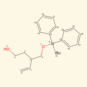 C=CC(CCO)CO[Si](c1ccccc1)(c1ccccc1)C(C)(C)C